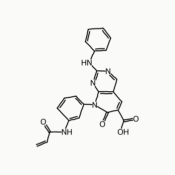 C=CC(=O)Nc1cccc(-n2c(=O)c(C(=O)O)cc3cnc(Nc4ccccc4)nc32)c1